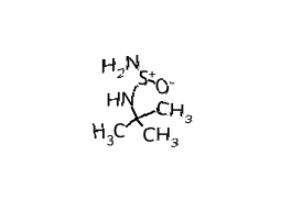 CC(C)(C)N[S+](N)[O-]